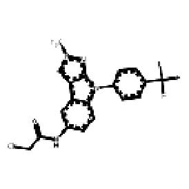 Cn1cc2c3cc(NC(=O)CCl)ccc3n(-c3ccc(C(F)(F)F)cc3)c2n1